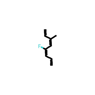 C=C/C=C(F)\C=C(\C)C=C